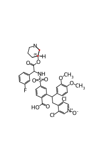 COc1ccc(C(Cc2c(Cl)c[n+]([O-])cc2Cl)c2cc(S(=O)(=O)NC(C(=O)O[C@H]3CN4CCC3CC4)c3cccc(F)c3)ccc2C(=O)O)cc1OC